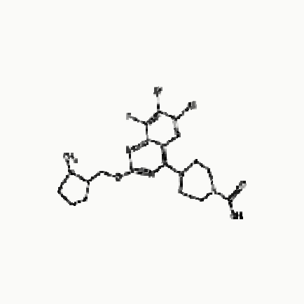 CN1CCCC1COc1nc(N2CCN(C(=O)O)CC2)c2cc(Cl)c(Br)c(F)c2n1